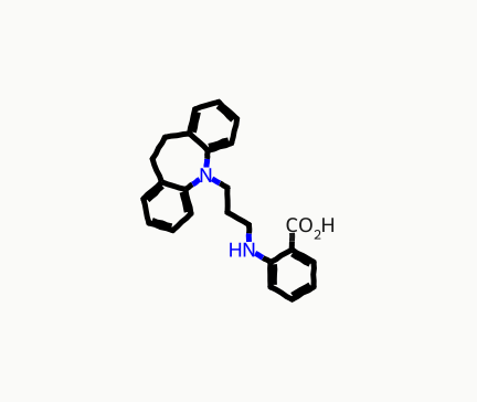 O=C(O)c1ccccc1NCCCN1c2ccccc2CCc2ccccc21